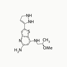 CO[C@H](C)CNc1cc(N)nc2cc(C3=CCNN3)sc12